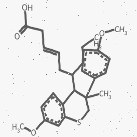 CCCC(CC=CCC(=O)O)C1c2ccc(OC)cc2SCC1(C)c1ccc(OC)cc1